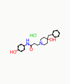 Cl.O=C(CCN1CCC(O)(Cc2ccccc2)CC1)Nc1ccc(O)cc1